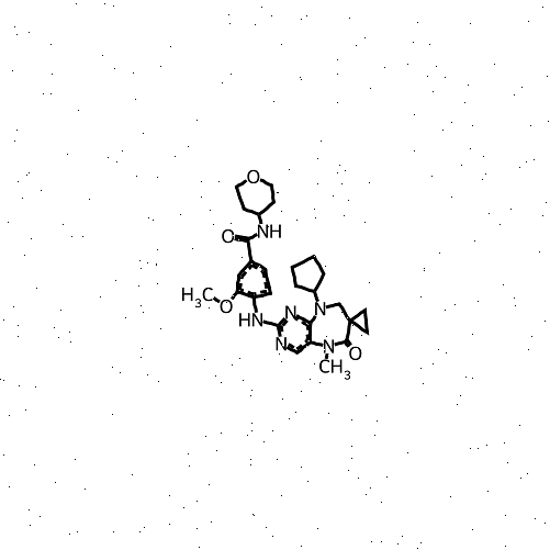 COc1cc(C(=O)NC2CCOCC2)ccc1Nc1ncc2c(n1)N(C1CCCC1)CC1(CC1)C(=O)N2C